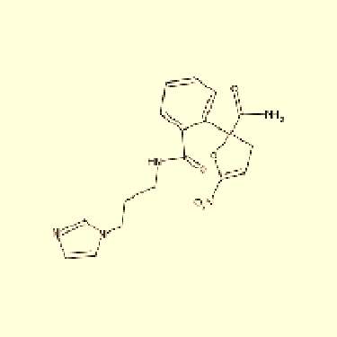 NC(=O)C1(c2ccccc2C(=O)NCCCn2ccnc2)CC=C([N+](=O)[O-])O1